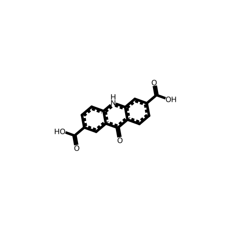 O=C(O)c1ccc2c(=O)c3cc(C(=O)O)ccc3[nH]c2c1